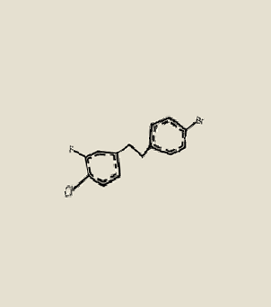 Fc1cc(CCc2ccc(Br)cc2)ccc1Cl